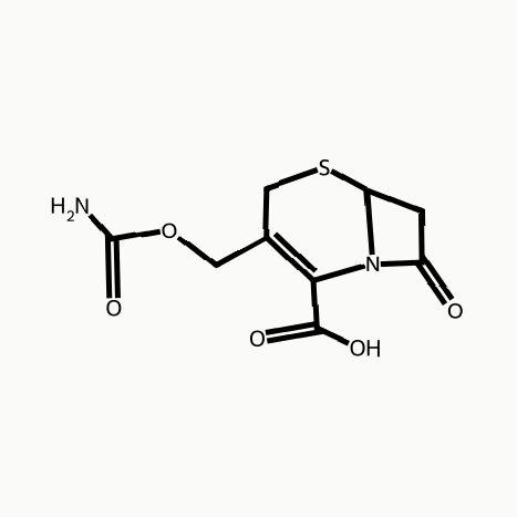 NC(=O)OCC1=C(C(=O)O)N2C(=O)CC2SC1